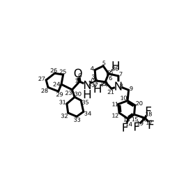 O=C(N[C@H]1CC[C@H]2CN(Cc3ccc(F)c(C(F)(F)F)c3)C[C@H]21)C(C1CCCCC1)C1CCCCC1